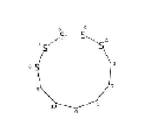 C1CCCSSSSSCC1